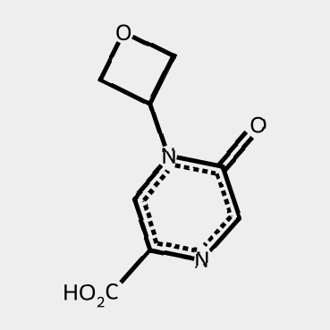 O=C(O)c1cn(C2COC2)c(=O)cn1